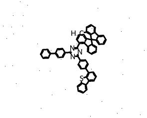 Cc1cccc2c1C1(c3ccccc3-2)c2ccccc2-c2c(-c3nc(-c4ccc(-c5ccccc5)cc4)nc(-c4ccc(-c5cccc6c5sc5ccccc56)cc4)n3)cccc21